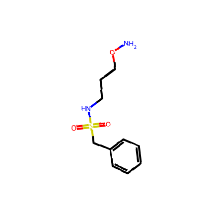 NOCCCNS(=O)(=O)Cc1ccccc1